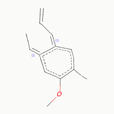 C=C/C=c1/cc(C)c(OC)c/c1=C/C